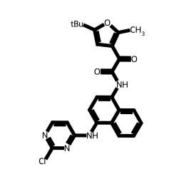 Cc1oc(C(C)(C)C)cc1C(=O)C(=O)Nc1ccc(Nc2ccnc(Cl)n2)c2ccccc12